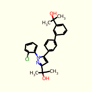 CC(C)(O)c1cccc(-c2ccc(-c3cc(C(C)(C)O)nn3-c3ccccc3Cl)cc2)c1